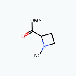 COC(=O)C1CCN1C#N